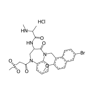 CNC(C)C(=O)NC1CN(C(=O)CS(C)(=O)=O)c2ccccc2N(Cc2c(OC)ccc3cc(Br)ccc23)C1=O.Cl